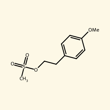 COc1ccc(CCOS(C)(=O)=O)cc1